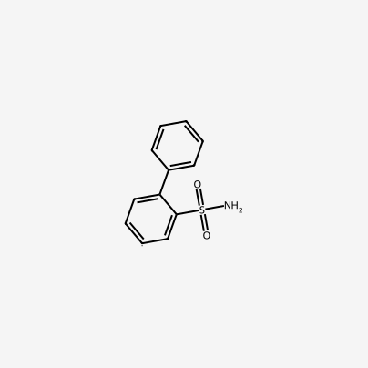 NS(=O)(=O)c1c[c]ccc1-c1ccccc1